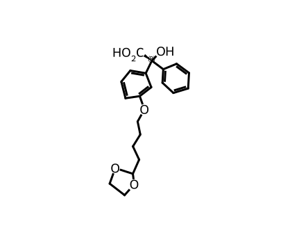 O=C(O)[C@@](O)(c1ccccc1)c1cccc(OCCCCC2OCCO2)c1